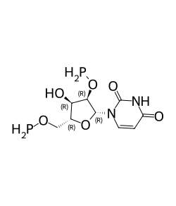 O=c1ccn([C@@H]2O[C@H](COP)[C@@H](O)[C@H]2OP)c(=O)[nH]1